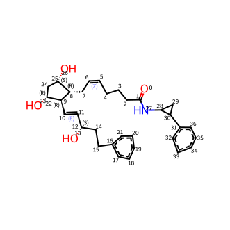 O=C(CCC/C=C\C[C@@H]1[C@@H](/C=C/[C@@H](O)CCc2ccccc2)[C@H](O)C[C@@H]1O)NC1CC1c1ccccc1